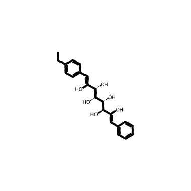 CCc1ccc(C=C(O)[C@H](O)[C@@H](O)[C@H](O)[C@H](O)C(O)=Cc2ccccc2)cc1